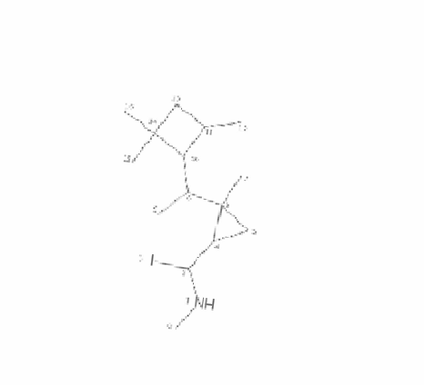 CNC(I)C1CC1(C)C(C)C1C(C)CC1(C)C